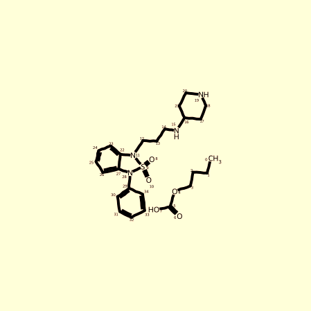 CCCCOC(=O)O.O=S1(=O)N(CCCNC2CCNCC2)c2ccccc2N1c1ccccc1